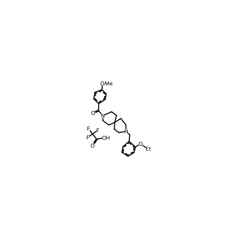 CCOc1ccccc1CN1CCC2(CC1)CCN(C(=O)c1ccc(OC)cc1)CC2.O=C(O)C(F)(F)F